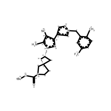 Cc1ccc(C(F)(F)F)cc1Cn1cc(-c2nn([C@H]3C[C@@]4(CCN(C(=O)OC(C)(C)C)C4)C3)c(N)c2C#N)cn1